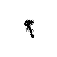 CC(=O)NC1[C@@H](OC(C)=O)[C@H](OC(C)=O)C(COC(C)=O)O[C@H]1n1cc(CNC(=O)CSCc2ccccc2)nn1